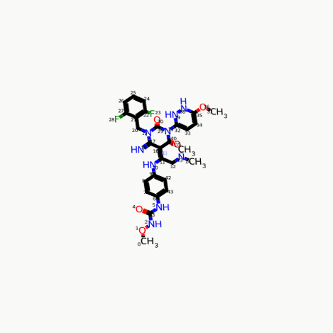 CONC(=O)Nc1ccc(N/C(CN(C)C)=C2\C(=N)N(Cc3c(F)cccc3F)C(=O)N(C3=CC=C(OC)NN3)C2=O)cc1